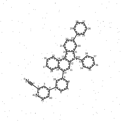 N#Cc1cc(-c2cccc(-c3cc4c(c5ccccc35)c3ccc(-c5ccccc5)cc3n4-c3ccccc3)c2)ccn1